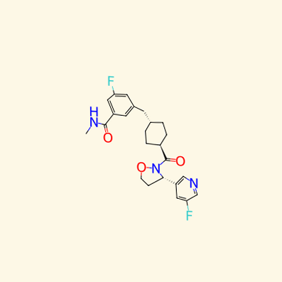 CNC(=O)c1cc(F)cc(C[C@H]2CC[C@H](C(=O)N3OCC[C@H]3c3cncc(F)c3)CC2)c1